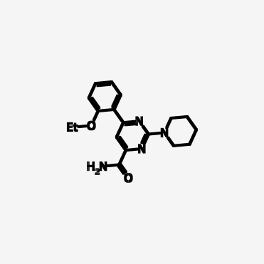 CCOc1ccccc1-c1cc(C(N)=O)nc(N2CCCCC2)n1